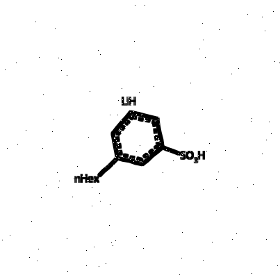 CCCCCCc1cccc(S(=O)(=O)O)c1.[LiH]